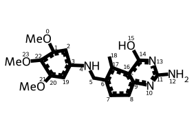 COc1cc(NCc2ccc3nc(N)nc(O)c3c2C)cc(OC)c1OC